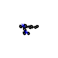 c1ccc(-c2nc3ccc(-c4ccc5cc(-c6ccc7ccccc7c6)ccc5c4)cc3c3cc4c(cc23)c2ccccc2n4-c2ccccc2)cc1